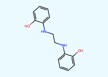 Oc1ccccc1NCCNc1ccccc1O